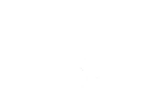 O=C1OCCN1c1cccc(C2CCCCC2)c1C1CCCCC1